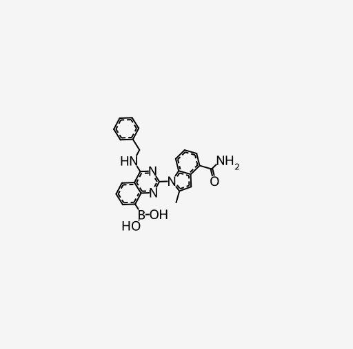 Cc1cc2c(C(N)=O)cccc2n1-c1nc(NCc2ccccc2)c2cccc(B(O)O)c2n1